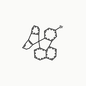 Brc1ccc2c(c1)-c1cccc3cccc(c13)C21C2=C(C=CCC2)c2ccccc21